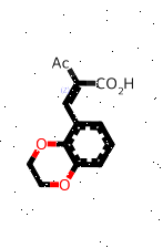 CC(=O)/C(=C/c1cccc2c1OCCO2)C(=O)O